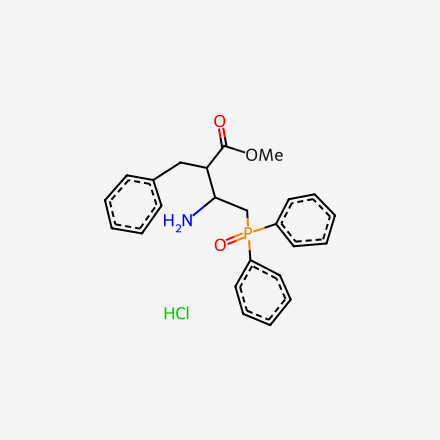 COC(=O)C(Cc1ccccc1)C(N)CP(=O)(c1ccccc1)c1ccccc1.Cl